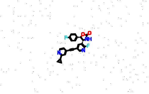 O=C1N[C@H](c2cc(C#Cc3ccnc(C4CC4)c3)cnc2F)[C@@H](c2ccc(F)cc2)O1